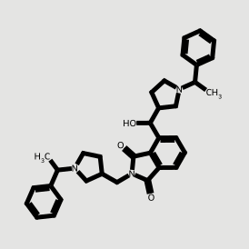 CC(c1ccccc1)N1CCC(CN2C(=O)c3cccc(C(O)C4CCN(C(C)c5ccccc5)C4)c3C2=O)C1